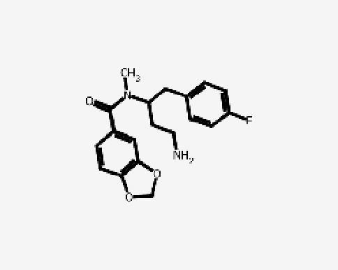 CN(C(=O)c1ccc2c(c1)OCO2)C(CCN)Cc1ccc(F)cc1